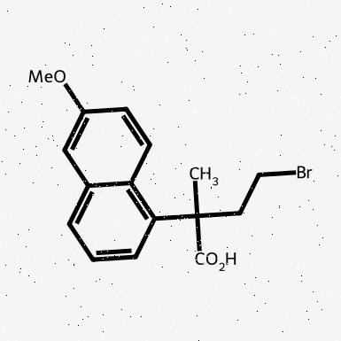 COc1ccc2c(C(C)(CCBr)C(=O)O)cccc2c1